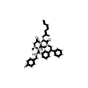 C=C/C=C\C=C(/C)C[C@H]1C(=O)N(CC(c2ccccc2)c2ccccc2)C[C@H]2N1C(=O)CN(C)N2C(=O)NCc1ccc(F)cc1